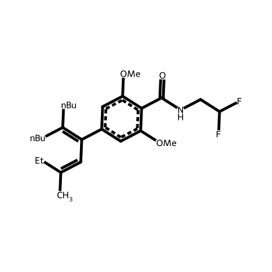 CCCCC(CCCC)=C(/C=C(/C)CC)c1cc(OC)c(C(=O)NCC(F)F)c(OC)c1